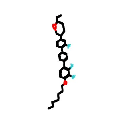 C=CC1CCC(c2ccc(-c3ccc(-c4ccc(OCCCCCCC)c(F)c4F)cc3)c(F)c2)CO1